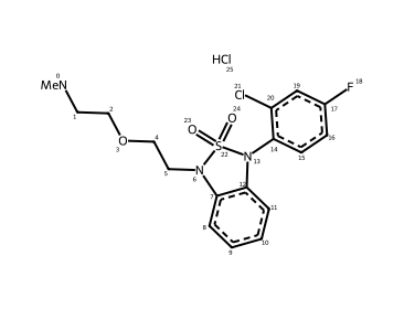 CNCCOCCN1c2ccccc2N(c2ccc(F)cc2Cl)S1(=O)=O.Cl